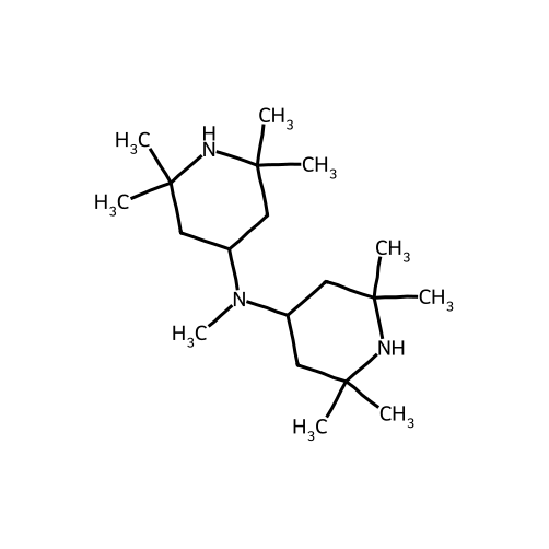 CN(C1CC(C)(C)NC(C)(C)C1)C1CC(C)(C)NC(C)(C)C1